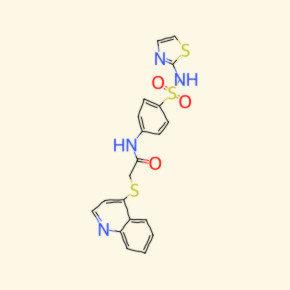 O=C(CSc1ccnc2ccccc12)Nc1ccc(S(=O)(=O)Nc2nccs2)cc1